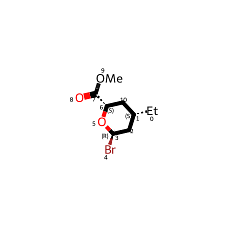 CC[C@@H]1C[C@@H](Br)O[C@H](C(=O)OC)C1